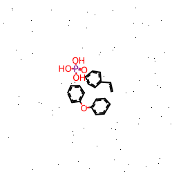 C=Cc1ccccc1.O=P(O)(O)O.c1ccc(Oc2ccccc2)cc1